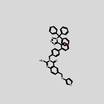 CCCCc1nc2ccc(COc3ccoc3)cc2c(=O)n1Cc1ccc(-c2ccccc2-c2nnnn2C(c2ccccc2)(c2ccccc2)c2ccccc2)cc1